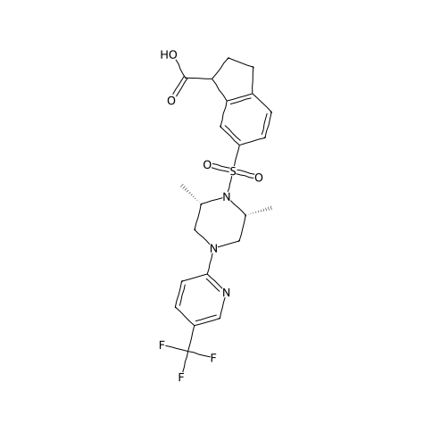 C[C@@H]1CN(c2ccc(C(F)(F)F)cn2)C[C@H](C)N1S(=O)(=O)c1ccc2c(c1)C(C(=O)O)CC2